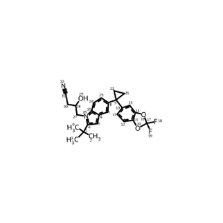 CC(C)(C)c1cc2cc(C3(c4ccc5c(c4)OC(F)(F)O5)CC3)ccc2n1CC(O)CC#N